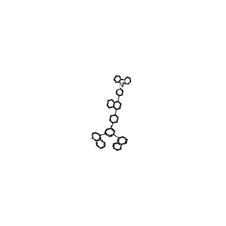 c1ccc2c(-c3cc(-c4ccc(-c5ccc(-c6ccc(-n7c8ccccc8c8ccccc87)cc6)c6ccccc56)cc4)cc(-c4cccc5ccccc45)c3)cccc2c1